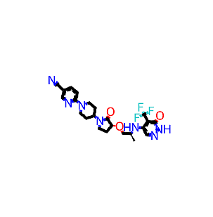 C[C@@H](CO[C@H]1CCN(C2CCN(c3ccc(C#N)cn3)CC2)C1=O)Nc1cn[nH]c(=O)c1C(F)(F)F